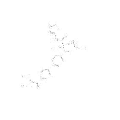 CC(C)CC(c1ccc(-c2ccc(C(=O)N(C)C)cc2)cc1)C(C)(C)C(=O)Nc1nncs1